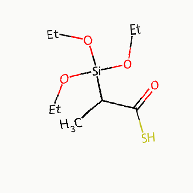 CCO[Si](OCC)(OCC)C(C)C(=O)S